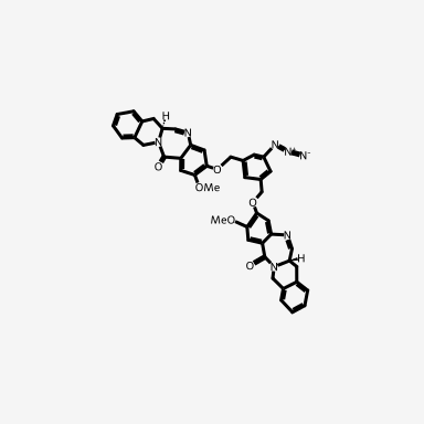 COc1cc2c(cc1OCc1cc(COc3cc4c(cc3OC)C(=O)N3Cc5ccccc5C[C@H]3C=N4)cc(N=[N+]=[N-])c1)N=C[C@@H]1Cc3ccccc3CN1C2=O